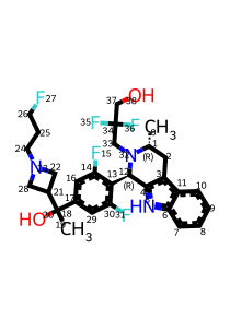 C[C@@H]1Cc2c([nH]c3ccccc23)[C@@H](c2c(F)cc(C(C)(O)C3CN(CCCF)C3)cc2F)N1CC(F)(F)CO